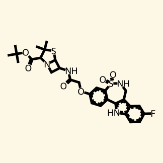 CC(C)(C)OC(=O)C1N2CC(NC(=O)COc3ccc4c(c3)S(=O)(=O)NCc3c-4[nH]c4ccc(F)cc34)C2SC1(C)C